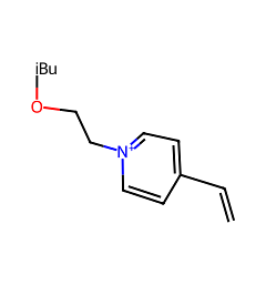 C=Cc1cc[n+](CCOC(C)CC)cc1